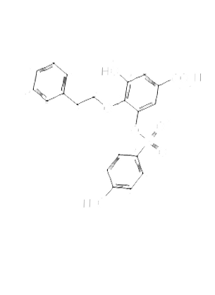 Cc1ccc(S(=O)(=O)Oc2cc(C(=O)O)cc(O)c2OCCc2ccccc2)cc1